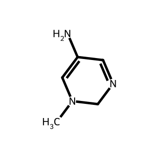 CN1C=C(N)C=NC1